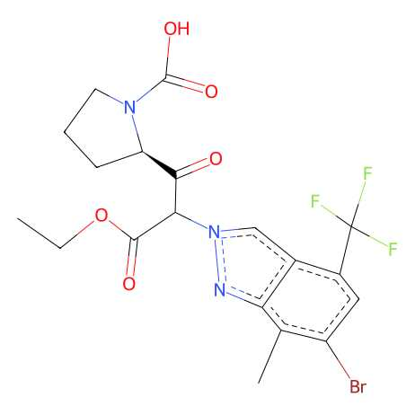 CCOC(=O)C(C(=O)[C@H]1CCCN1C(=O)O)n1cc2c(C(F)(F)F)cc(Br)c(C)c2n1